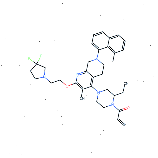 C=CC(=O)N1CCN(c2c(C#N)c(OCCN3CCC(F)(F)C3)nc3c2CCN(c2cccc4cccc(C)c24)C3)CC1CC#N